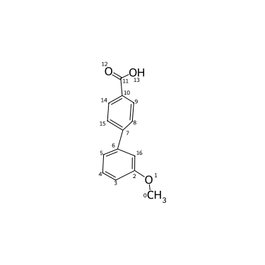 COc1cccc(-c2ccc(C(=O)O)cc2)c1